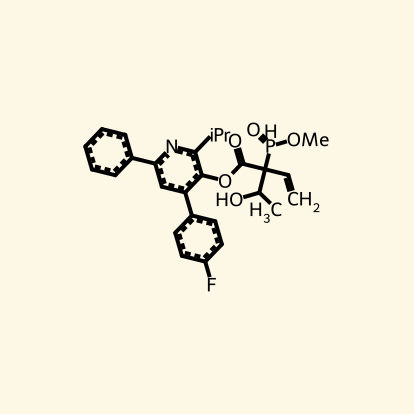 C=CC(C(=O)Oc1c(-c2ccc(F)cc2)cc(-c2ccccc2)nc1C(C)C)(C(C)O)[PH](=O)OC